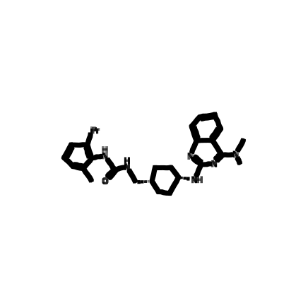 Cc1cccc(C(C)C)c1NC(=O)NC[C@H]1CC[C@@H](Nc2nc(N(C)C)c3ccccc3n2)CC1